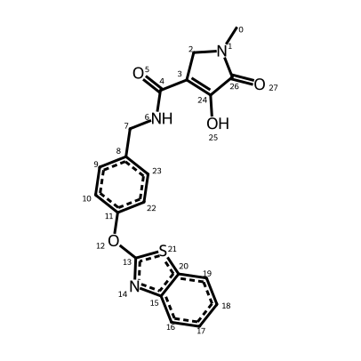 CN1CC(C(=O)NCc2ccc(Oc3nc4ccccc4s3)cc2)=C(O)C1=O